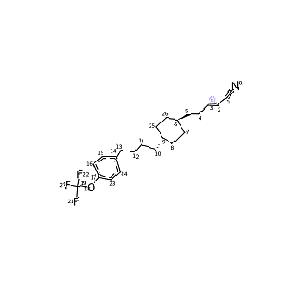 N#C/C=C/CC[C@H]1CC[C@H](CCCCc2ccc(OC(F)(F)F)cc2)CC1